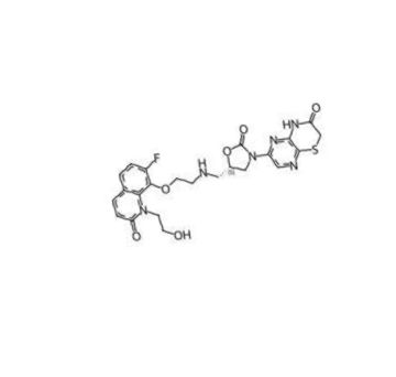 O=C1CSc2ncc(N3C[C@H](CNCCOc4c(F)ccc5ccc(=O)n(CCO)c45)OC3=O)nc2N1